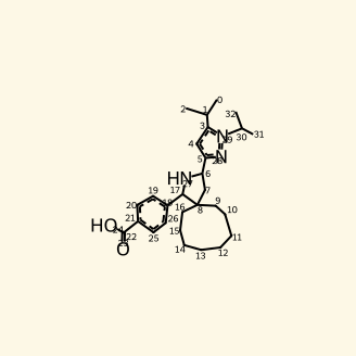 CC(C)c1cc(C2CC3(CCCCCCCC3)C(c3ccc(C(=O)O)cc3)N2)nn1C(C)C